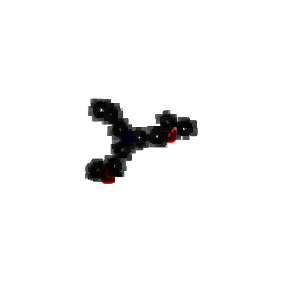 c1ccc(-c2cccc3c2oc2ccc(-c4ccc(N(c5ccc(-c6ccc7ccccc7c6)cc5)c5ccc(-c6ccc7oc8ccccc8c7c6)cc5)cc4)cc23)cc1